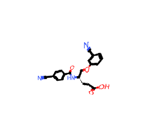 N#Cc1ccc(C(=O)N[C@@H](CCC(=O)O)COc2cccc(C#N)c2)cc1